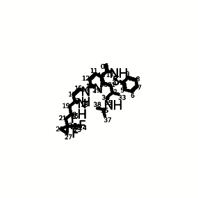 C=C(NSc1ccccc1)c1ccc(N/C=C\C(=N)CCCC2(C(F)(F)F)CC2)nc1CC(C)CNC(C)C